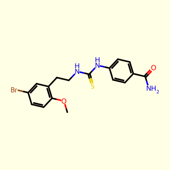 COc1ccc(Br)cc1CCNC(=S)Nc1ccc(C(N)=O)cc1